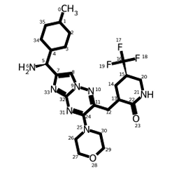 CC1CCC([C@H](N)c2cn3nc(CC4C[C@@H](C(F)(F)F)CNC4=O)c(N4CCOCC4)nc3n2)CC1